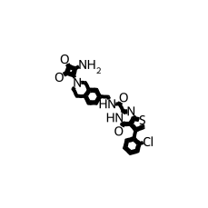 Nc1c(N2CCc3ccc(CNC(=O)c4nc5scc(-c6ccccc6Cl)c5c(=O)[nH]4)cc3C2)c(=O)c1=O